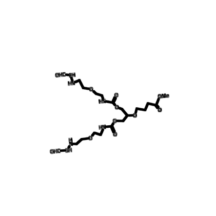 COC(=O)CCCOC(COC(=O)NCCOCCNBC=O)COC(=O)NCCOCCNBC=O